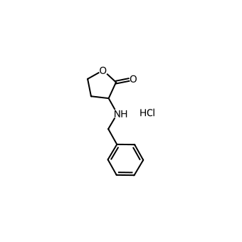 Cl.O=C1OCCC1NCc1ccccc1